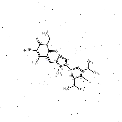 CCN1C(=O)C(C#N)=C(C)/C(=C/c2ccc(-c3cc(C(C)C)c(I)c(C(C)C)c3)n2C)C1=O